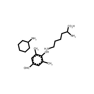 Cc1cc(C=O)cc(C)c1O.NC1CCCCC1.NCCCCC(N)C(=O)O